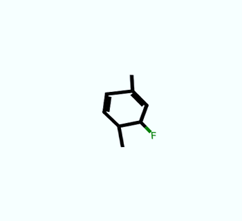 CC1=CC(F)C(C)C=C1